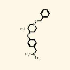 CN(C)Cc1ccc(SC2CCN(OCc3ccccc3)CC2)cc1.Cl